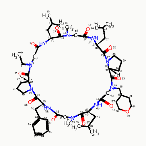 CCN1CC(=O)N[C@@H](CC(C)C)C(=O)N(C)CC(=O)N[C@@H](CC(C)C)C(=O)N2CCC[C@@H]2C(=O)N(CC2CCOCC2)CC(=O)N[C@@H](CC(C)C)C(=O)N(C)CC(=O)N[C@@H](Cc2ccccc2)C(=O)N2CCC[C@@H]2C1=O